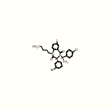 C[C@H](c1ccc(Cl)cc1)N1C(=O)c2cc(I)ccc2N(CCCCC(=O)O)C(=O)[C@@H]1c1cccc(Br)c1